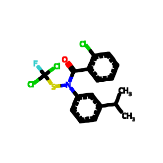 CC(C)c1cccc(N(SC(F)(Cl)Cl)C(=O)c2ccccc2Cl)c1